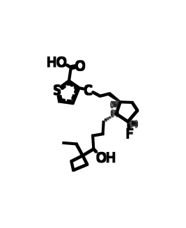 CCC1(C(O)CCC[C@@H]2[C@@H](CCCc3ccsc3C(=O)O)CC[C@H]2F)CCC1